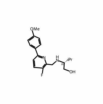 COc1ccc(-c2ccc(F)c(CN[C@@H](CO)C(C)C)n2)cc1